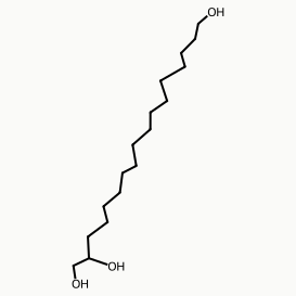 OCCCCCCCCCCCCCCCC(O)CO